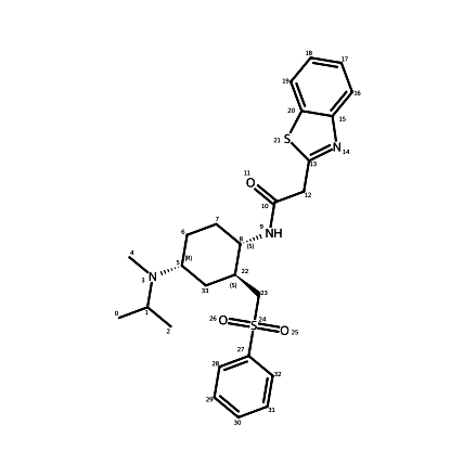 CC(C)N(C)[C@@H]1CC[C@H](NC(=O)Cc2nc3ccccc3s2)[C@@H](CS(=O)(=O)c2ccccc2)C1